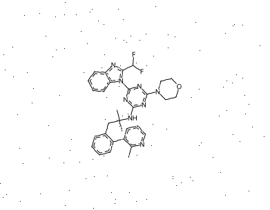 Cc1ncccc1-c1ccccc1CC(C)(C)Nc1nc(N2CCOCC2)nc(-n2c(C(F)F)nc3ccccc32)n1